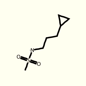 CS(=O)(=O)[N]CCCC1CC1